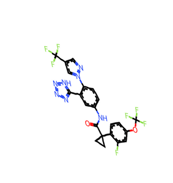 O=C(Nc1ccc(-n2cc(C(F)(F)F)cn2)c(-c2nnn[nH]2)c1)C1(c2ccc(OC(F)(F)F)cc2F)CC1